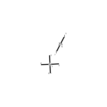 [CH2][Si](C)(C)C.[I][Zn][I]